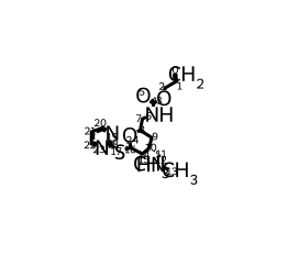 C=CCOC(=O)NCC1C[C@H](CNC)C(C)C(Sc2ncccn2)O1